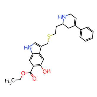 CCOC(=O)c1cc2[nH]cc(CSCCC3CC(c4ccccc4)=CCN3)c2cc1O